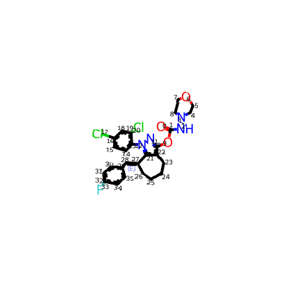 O=C(NN1CCOCC1)Oc1nn(-c2ccc(Cl)cc2Cl)c2c1CCCC/C2=C\c1ccc(F)cc1